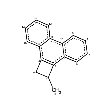 CC1Cc2c1c1ccccc1c1ccccc21